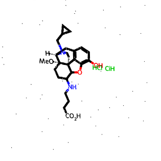 CO[C@@]12CCC(NCCCC(=O)O)C3Oc4c(O)ccc5c4[C@@]31CCN(CC1CC1)[C@@H]2C5.Cl.Cl